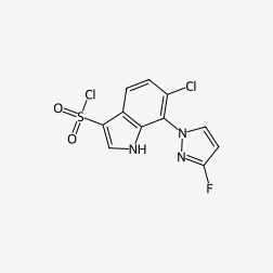 O=S(=O)(Cl)c1c[nH]c2c(-n3ccc(F)n3)c(Cl)ccc12